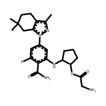 Cc1nn(-c2cc(F)c(C(N)=O)c(NC3CCCC3OC(=O)CN)c2)c2c1CCC(C)(C)C2